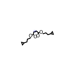 O=C(/C=C\C(=O)OCCCC1CC1)OCCCC1CC1